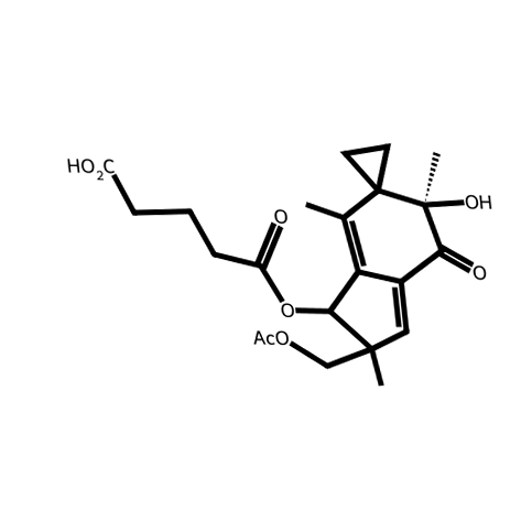 CC(=O)OCC1(C)C=C2C(=O)[C@](C)(O)C3(CC3)C(C)=C2C1OC(=O)CCCC(=O)O